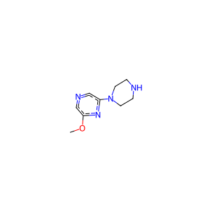 COc1cncc(N2CCNCC2)n1